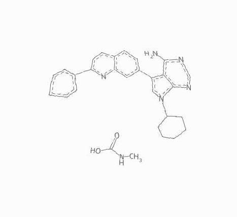 CNC(=O)O.Nc1ncnc2c1c(-c1ccc3ccc(-c4ccccc4)nc3c1)cn2C1CCCCC1